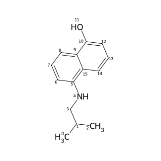 CC(C)CNc1cccc2c(O)cccc12